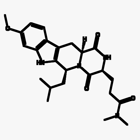 COc1ccc2c3c([nH]c2c1)[C@H](CC(C)C)N1C(=O)[C@H](CCC(=O)N(C)C)NC(=O)[C@@H]1C3